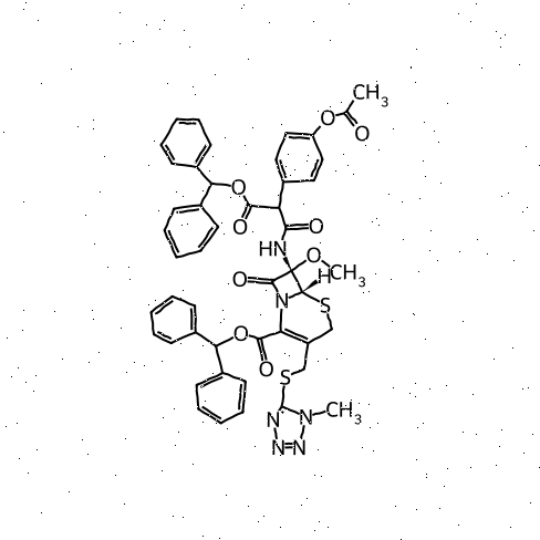 CO[C@@]1(NC(=O)C(C(=O)OC(c2ccccc2)c2ccccc2)c2ccc(OC(C)=O)cc2)C(=O)N2C(C(=O)OC(c3ccccc3)c3ccccc3)=C(CSc3nnnn3C)CS[C@H]21